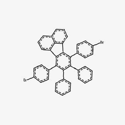 Brc1ccc(-c2c(-c3ccccc3)c(-c3ccccc3)c(-c3ccc(Br)cc3)c3c2-c2cccc4cccc-3c24)cc1